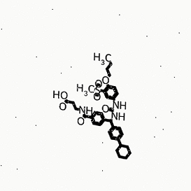 CCCCOc1ccc(NC(=O)NC(c2ccc(C(=O)NCCC(=O)O)cc2)c2ccc(C3CCCCC3)cc2)cc1S(C)(=O)=O